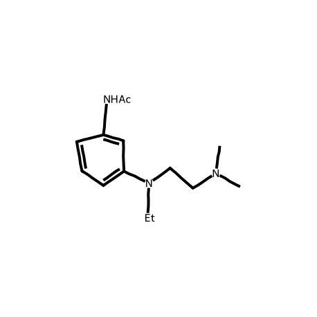 CCN(CCN(C)C)c1cccc(NC(C)=O)c1